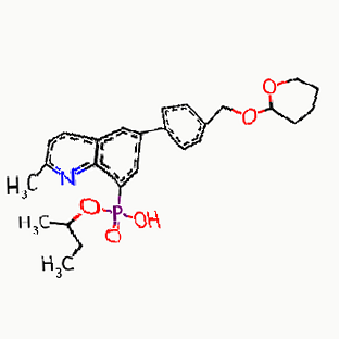 CCC(C)OP(=O)(O)c1cc(-c2ccc(COC3CCCCO3)cc2)cc2ccc(C)nc12